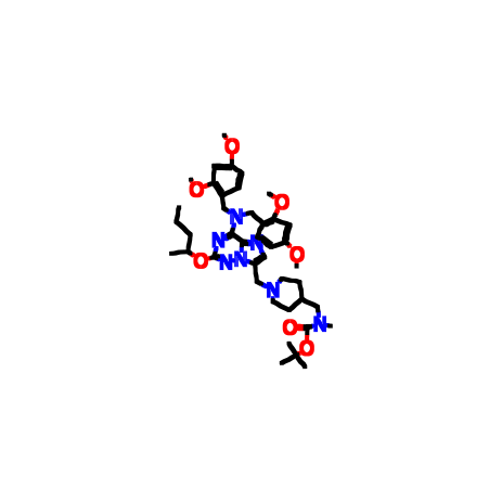 CCCC(C)Oc1nc(N(Cc2ccc(OC)cc2OC)Cc2ccc(OC)cc2OC)c2ncc(CN3CCC(CN(C)C(=O)OC(C)(C)C)CC3)n2n1